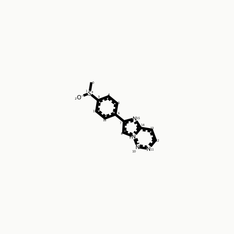 C[S+]([O-])c1ccc(-c2cn3nnccc3n2)cc1